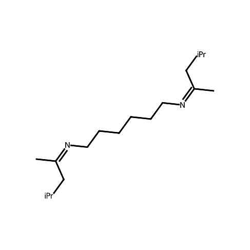 C/C(CC(C)C)=N/CCCCCC/N=C(/C)CC(C)C